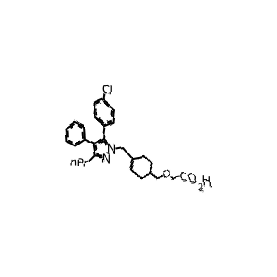 CCCc1nn(CC2CCC(COCC(=O)O)CC2)c(-c2ccc(Cl)cc2)c1-c1ccccc1